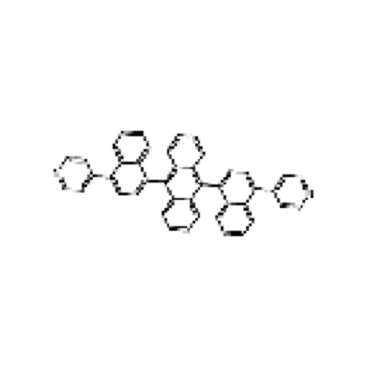 c1ccc2c(-c3c4ccccc4c(-c4ccc(-c5ccncc5)c5ccccc45)c4ccccc34)ccc(-c3ccncc3)c2c1